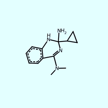 CN(C)C1=NC(N)(C2CC2)Nc2ccccc21